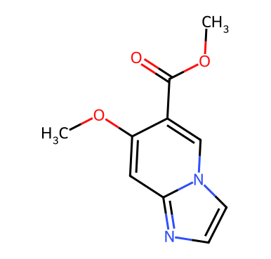 COC(=O)c1cn2ccnc2cc1OC